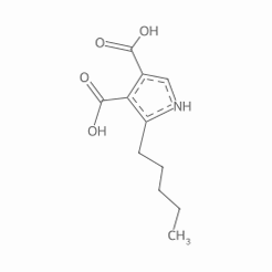 CCCCCc1[nH]cc(C(=O)O)c1C(=O)O